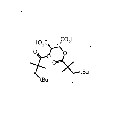 CC(C)(C)CC(C)(C)C(=O)O[C@@H](C(=O)O)[C@@H](OC(=O)C(C)(C)CC(C)(C)C)C(=O)O